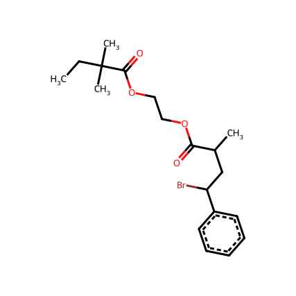 CCC(C)(C)C(=O)OCCOC(=O)C(C)CC(Br)c1ccccc1